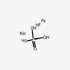 F.O=P(O)(O)O.[Fe].[KH]